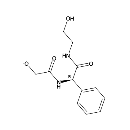 [O]CC(=O)N[C@@H](C(=O)NCCO)c1ccccc1